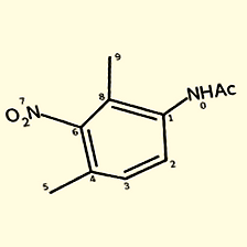 CC(=O)Nc1ccc(C)c([N+](=O)[O-])c1C